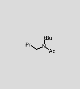 [CH2]C(=O)N(CC(C)C)C(C)(C)C